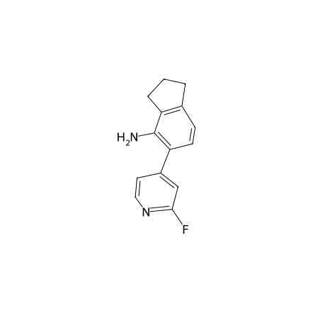 Nc1c(-c2ccnc(F)c2)ccc2c1CCC2